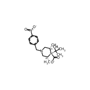 C[C@@H]1CN(Cc2ccc([N+](=O)[O-])cc2)C[C@H](C)[N+]1(C(=O)[O-])C(C)(C)C